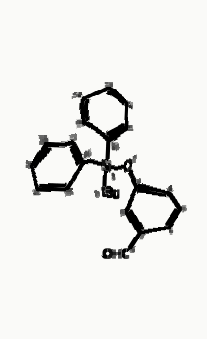 CC(C)(C)[Si](Oc1cccc(C=O)c1)(c1ccccc1)c1ccccc1